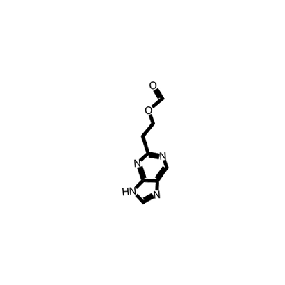 O=COCCc1ncc2nc[nH]c2n1